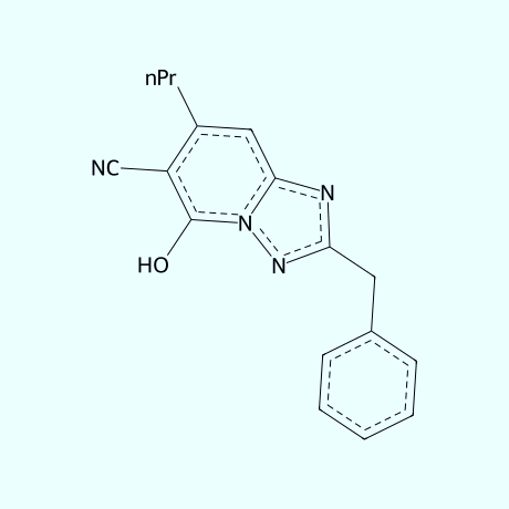 CCCc1cc2nc(Cc3ccccc3)nn2c(O)c1C#N